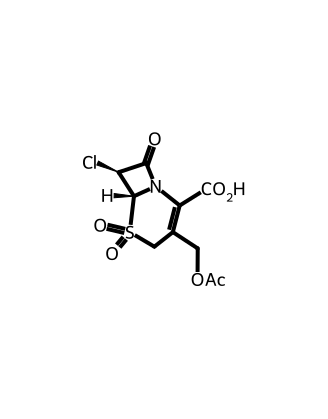 CC(=O)OCC1=C(C(=O)O)N2C(=O)[C@H](Cl)[C@H]2S(=O)(=O)C1